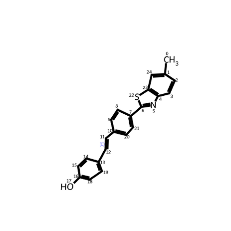 Cc1ccc2nc(-c3ccc(/C=C/c4ccc(O)cc4)cc3)sc2c1